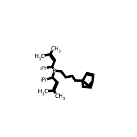 CC(C)=CC(B(CCCCC12C=CC(CC1)C2)C(C=C(C)C)C(C)C)C(C)C